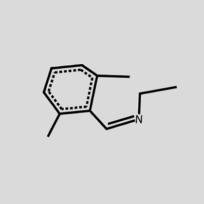 CC/N=C\c1c(C)cccc1C